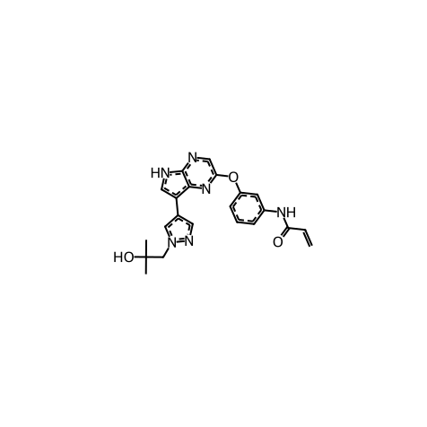 C=CC(=O)Nc1cccc(Oc2cnc3[nH]cc(-c4cnn(CC(C)(C)O)c4)c3n2)c1